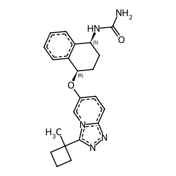 CC1(c2nnc3ccc(O[C@@H]4CC[C@H](NC(N)=O)c5ccccc54)cn23)CCC1